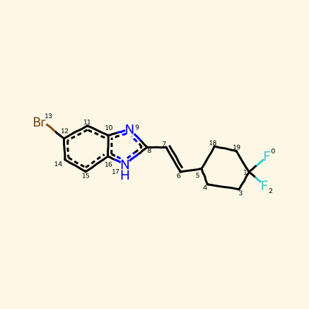 FC1(F)CCC(C=Cc2nc3cc(Br)ccc3[nH]2)CC1